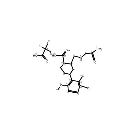 COC(=O)CNCC1CC(c2c(OC)ccc(Cl)c2Cl)CCN1C(=O)O.O=C(O)C(F)(F)F